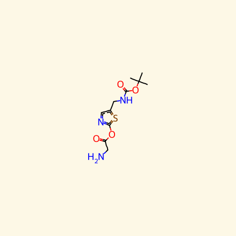 CC(C)(C)OC(=O)NCc1cnc(OC(=O)CN)s1